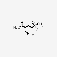 CN[C@@H](CN)CCS(C)(=O)=O